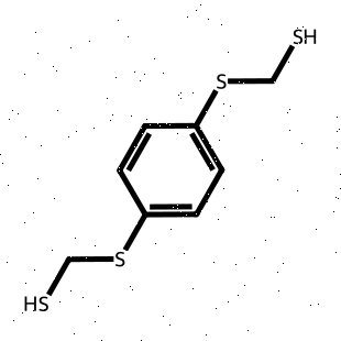 SCSc1ccc(SCS)cc1